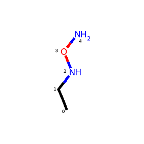 CCNON